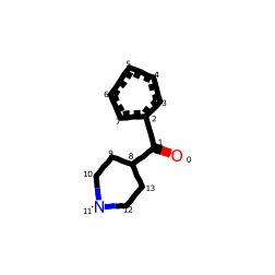 O=C(c1ccccc1)C1CC[N]CC1